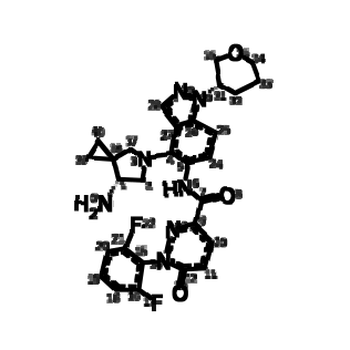 N[C@H]1CN(c2c(NC(=O)c3ccc(=O)n(-c4c(F)cccc4F)n3)ccc3c2cnn3[C@H]2CCCOC2)CC12CC2